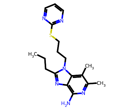 CCCc1nc2c(N)nc(C)c(C)c2n1CCCSc1ncccn1